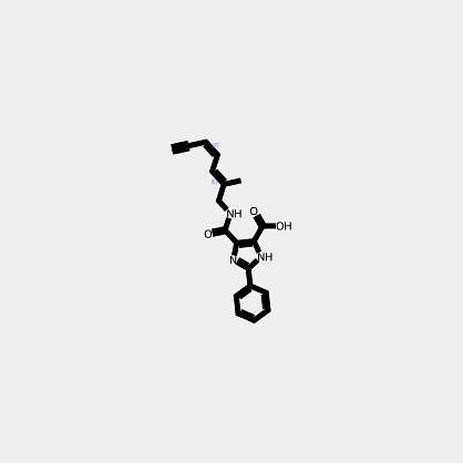 C#C/C=C\C=C(/C)CNC(=O)c1nc(-c2ccccc2)[nH]c1C(=O)O